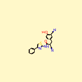 N#Cc1cc(CC(C#N)C(=O)Nc2nc(-c3ccccc3)cs2)ccc1O